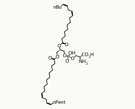 CCCC/C=C\C/C=C\CCCCCCCC(=O)O[C@H](COC(=O)CCCCCCCCC/C=C\C/C=C\CCCCC)COP(=O)(O)OC[C@H](N)C(=O)O